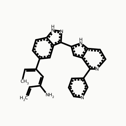 C=C/C(N)=C\C(=C/C)c1ccc2[nH]nc(-c3cc4c(-c5cccnc5)nccc4[nH]3)c2c1